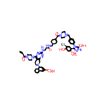 C=CC(=O)N1CCN(c2nc(NCCC(=O)NCC3CCC(C(=O)N4CCN(Cc5ccc(-n6c(O)nnc6-c6cc(CC)c(O)cc6O)cc5)CC4)CC3)nc3c2CCN(c2cc(O)cc4ccccc24)C3)CC1